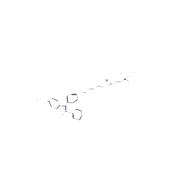 CC/C(=C(\c1ccc(O)cc1)c1ccc(OCCCCC[S+]([O-])CCCC(F)(F)C(F)(F)F)cc1)c1ccccc1